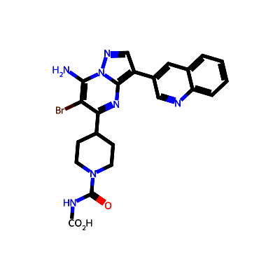 Nc1c(Br)c(C2CCN(C(=O)NC(=O)O)CC2)nc2c(-c3cnc4ccccc4c3)cnn12